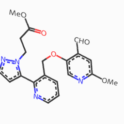 COC(=O)CCn1nccc1-c1ncccc1COc1cnc(OC)cc1C=O